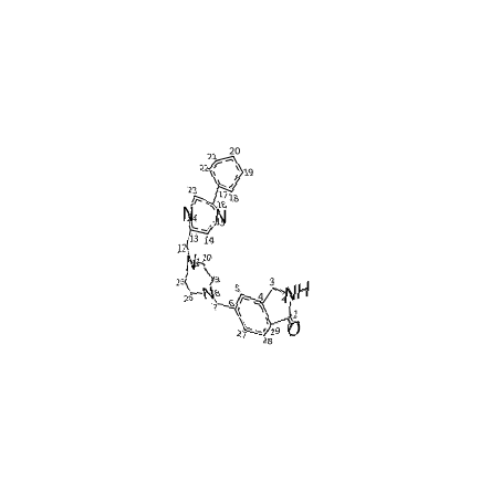 O=C1NCc2cc(CN3CCN(Cc4cnc(-c5ccccc5)cn4)CC3)ccc21